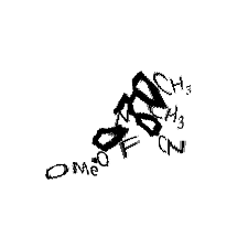 COCOc1ccc(-n2ccc(-c3ccc(C)cc3)c2-c2ccc(C#N)cc2C)cc1F